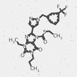 CCCn1c(=O)c2c(nc(-c3cnn(Cc4cccc(C(F)(F)F)c4)c3)n2C(=O)SCC)n(CC)c1=O